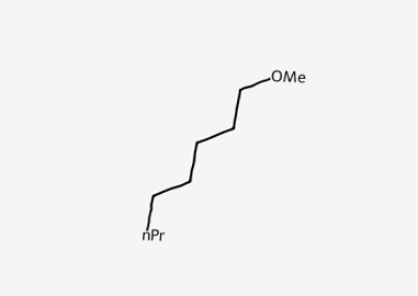 [CH2]CCCCCCCOC